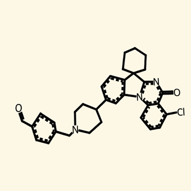 O=Cc1ccc(CN2CCC(c3ccc4c(c3)-n3c(nc(=O)c5c(Cl)cccc53)C43CCCCC3)CC2)cc1